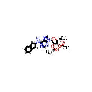 C#C[C@H]1O[C@@H](n2cnc3c(NC4Cc5ccccc5C4)ncnc32)[C@H](OC(C)=O)[C@H]1OC(C)=O